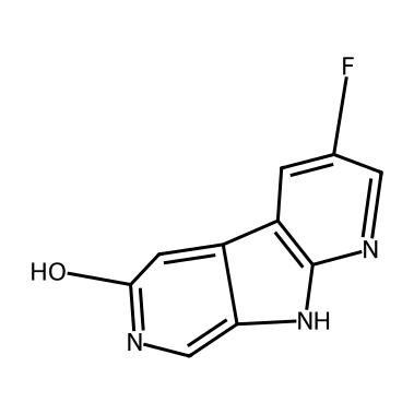 Oc1cc2c(cn1)[nH]c1ncc(F)cc12